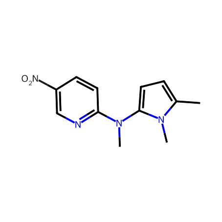 Cc1ccc(N(C)c2ccc([N+](=O)[O-])cn2)n1C